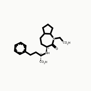 O=C(O)CN1C(=O)[C@@H](N[C@@H](CCc2ccccc2)C(=O)O)CCC2CCCC21